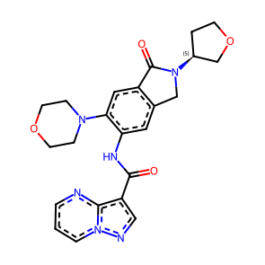 O=C(Nc1cc2c(cc1N1CCOCC1)C(=O)N([C@H]1CCOC1)C2)c1cnn2cccnc12